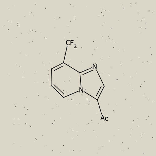 CC(=O)c1cnc2c(C(F)(F)F)cccn12